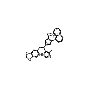 CCOC(=O)c1cn(C(Cc2ccc3c(c2)OCO3)c2[nH]cnc2C)cc1-c1cccc2ccccc12